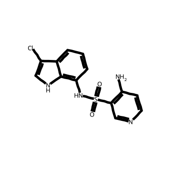 Nc1ccncc1S(=O)(=O)Nc1cccc2c(Cl)c[nH]c12